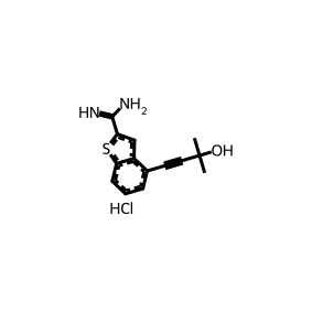 CC(C)(O)C#Cc1cccc2sc(C(=N)N)cc12.Cl